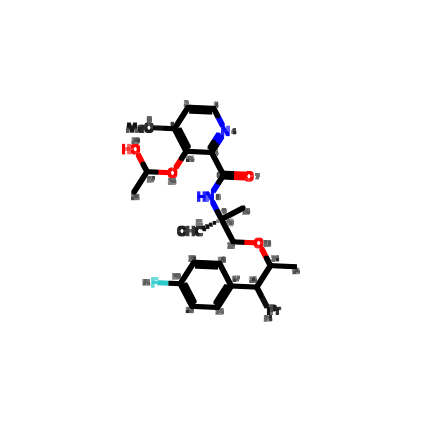 COc1ccnc(C(=O)N[C@](C)(C=O)COC(C)C(c2ccc(F)cc2)C(C)C)c1OC(C)O